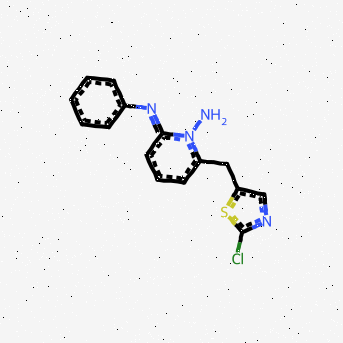 Nn1c(Cc2cnc(Cl)s2)ccc/c1=N\c1ccccc1